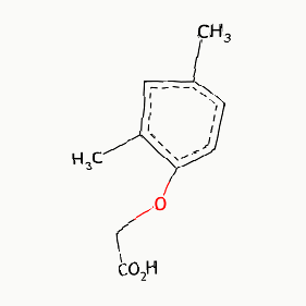 Cc1ccc(OCC(=O)O)c(C)c1